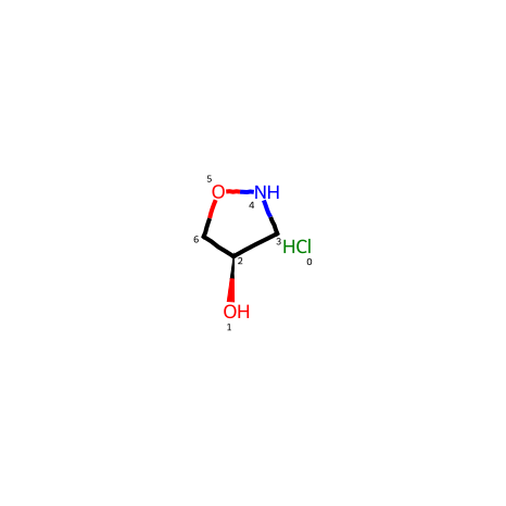 Cl.O[C@@H]1CNOC1